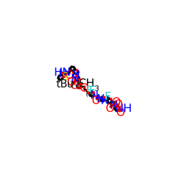 Cc1c(OCCC[C@@H]2CCN(CC(=O)N3CCN(c4cc5c(cc4F)C(=O)N(C4CCC(=O)NC4=O)C5=O)CC3)CC2(F)F)cccc1-c1ccc(N2CCc3cccc(C(=O)Nc4nc5ccccc5s4)c3C2)nc1C(=O)OC(C)(C)C